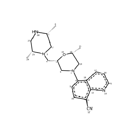 C[C@@H]1CN(C[C@H]2CN(c3ccc(C#N)c4ncccc34)C[C@@H](C)O2)[C@H](C)CN1